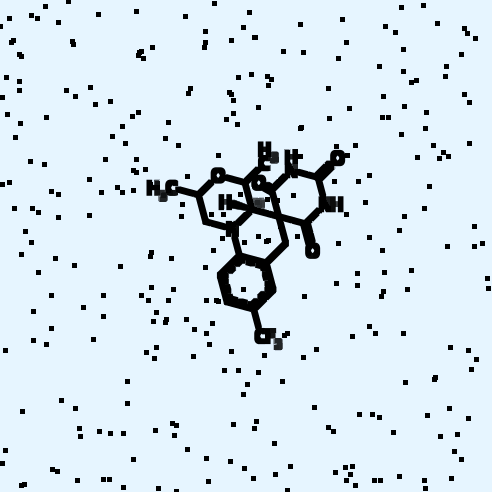 CC1CN2c3ccc(C(F)(F)F)cc3CC3(C(=O)NC(=O)NC3=O)[C@H]2C(C)O1